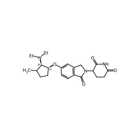 CCN(CC)[C@@H]1C(C)CC[C@@H]1Oc1ccc2c(c1)CN(C1CCC(=O)NC1=O)C2=O